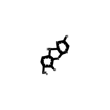 Nc1ccc2c(c1Cl)Sc1ncc(Cl)nc1N2